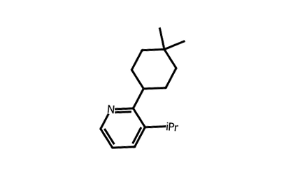 CC(C)c1cccnc1C1CCC(C)(C)CC1